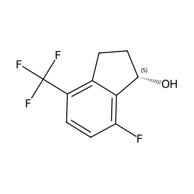 O[C@H]1CCc2c(C(F)(F)F)ccc(F)c21